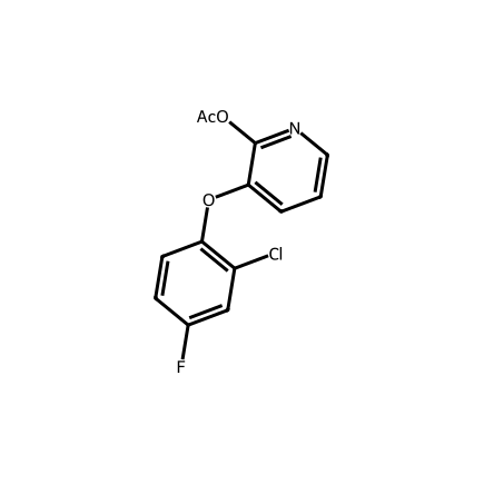 CC(=O)Oc1ncccc1Oc1ccc(F)cc1Cl